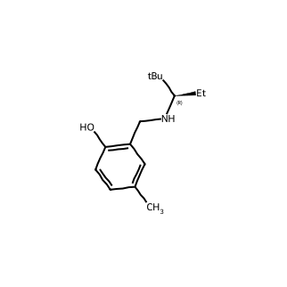 CC[C@@H](NCc1cc(C)ccc1O)C(C)(C)C